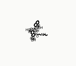 CCCCNCCC(=O)Nc1cc(S(=O)(=O)O)cc2cc(S(=O)(=O)O)c(N=Nc3ccc4ccccc4c3S(=O)(=O)O)c(O)c12